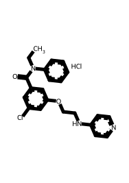 CCN(C(=O)c1cc(Cl)cc(OCCNc2ccncc2)c1)c1ccccc1.Cl